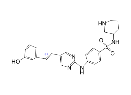 O=S(=O)(NC1CCCNC1)c1ccc(Nc2ncc(/C=C/c3cccc(O)c3)cn2)cc1